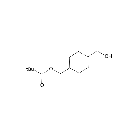 CC(C)(C)C(=O)OCC1CCC(CO)CC1